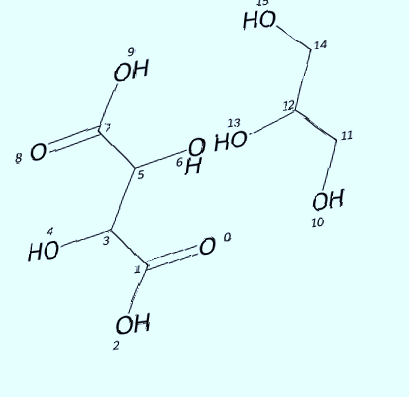 O=C(O)C(O)C(O)C(=O)O.OCC(O)CO